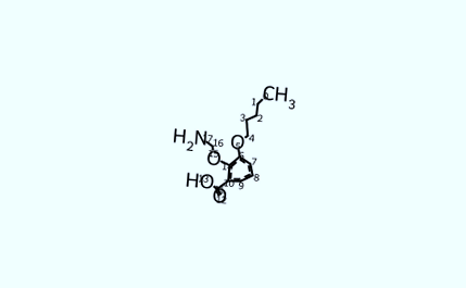 CCCCCOc1cccc(C(=O)O)c1OCN